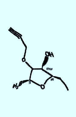 B[C@@H]1O[C@H](CC)[C@H](O)C1OCC#C